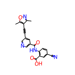 Cc1noc(C)c1C#Cc1cncc(C(=O)Nc2ccc(C#N)cc2C(=O)O)c1